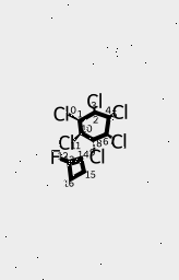 Cl[C@H]1[C@H](Cl)[C@@H](Cl)[C@@H](Cl)[C@H](Cl)[C@H]1Cl.FC1=CCC1